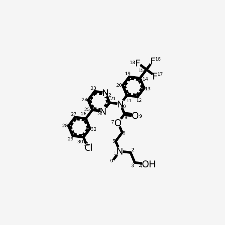 CN(CCO)CCOC(=O)N(c1ccc(C(F)(F)F)cc1)c1nccc(-c2cccc(Cl)c2)n1